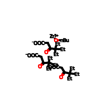 CCC(CC)(CC)C(=O)CC(=O)[O-].CCC(CC)(CC)C(=O)CC(=O)[O-].CCC(CC)(CC)C(=O)CC(=O)[O-].CCCC[O][Zr+3]